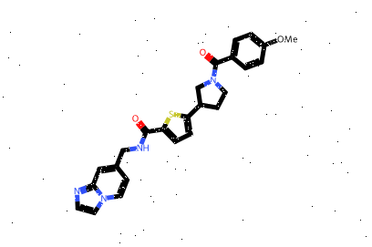 COc1ccc(C(=O)N2CCC(c3ccc(C(=O)NCc4ccn5ccnc5c4)s3)C2)cc1